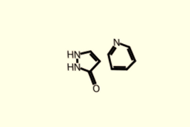 O=c1cc[nH][nH]1.c1ccncc1